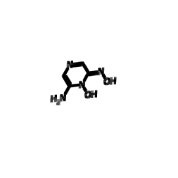 Nc1cncc(=NO)n1O